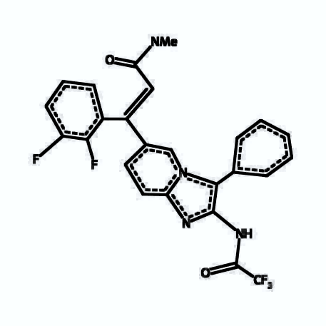 CNC(=O)C=C(c1ccc2nc(NC(=O)C(F)(F)F)c(-c3ccccc3)n2c1)c1cccc(F)c1F